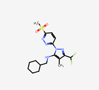 Cc1c(C(F)F)nn(-c2ccc(S(C)(=O)=O)nn2)c1NCC1CCCCC1